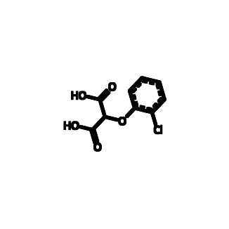 O=C(O)C(Oc1ccccc1Cl)C(=O)O